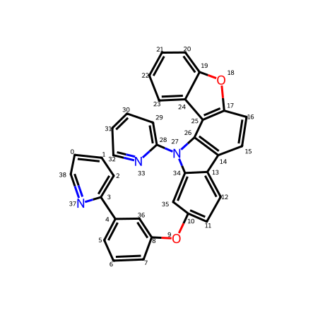 c1ccc(-c2cccc(Oc3ccc4c5ccc6oc7ccccc7c6c5n(-c5ccccn5)c4c3)c2)nc1